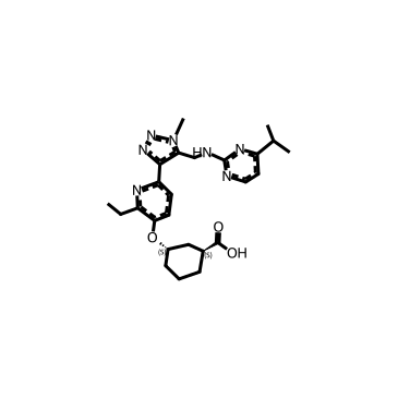 CCc1nc(-c2nnn(C)c2CNc2nccc(C(C)C)n2)ccc1O[C@H]1CCC[C@H](C(=O)O)C1